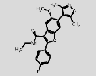 CCNC(=O)c1c(-c2ccc(F)cc2)oc2cc(-c3c(C)noc3C)c(OC)cc12